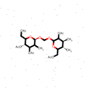 CC(=O)OCC1O[C@@H](OCOC2OC(COC(C)=O)[C@@H](C)[C@H](C)C2OC(C)=O)C(C)C(OC(C)=O)[C@@H]1OC(C)=O